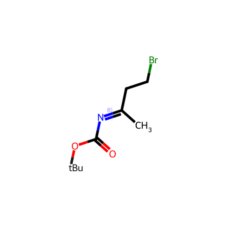 C/C(CCBr)=N\C(=O)OC(C)(C)C